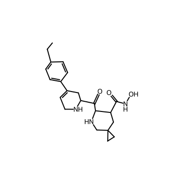 CCc1ccc(C2=CCNC(C(=O)C3NCC4(CC4)CC3C(=O)NO)C2)cc1